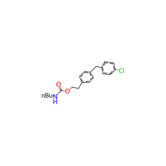 CCCCNC(=O)OCCc1ccc(Cc2ccc(Cl)cc2)cc1